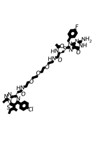 CC(=O)N[C@@H](CSc1nc2c(=O)[nH]c(N)nc2n1Cc1ccc(F)cc1)C(=O)NCCOCCOCCOCCNC(=O)C[C@@H]1N=C(c2ccc(Cl)cc2)c2c(sc(C)c2C)-n2c(C)nnc21